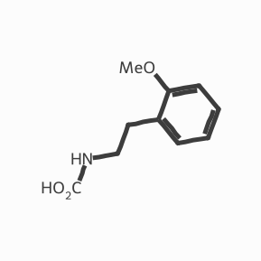 COc1ccccc1CCNC(=O)O